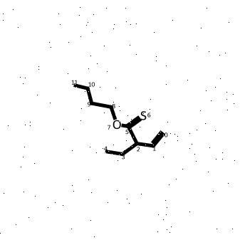 C=CC(CC)C(=S)OCCCC